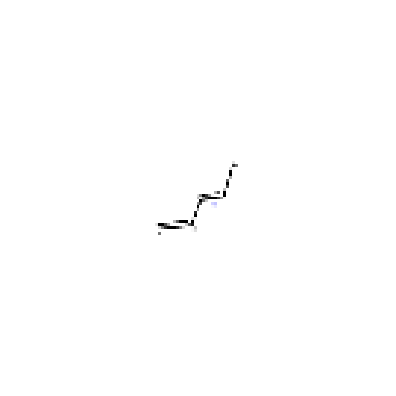 [CH]/C=C/C=C